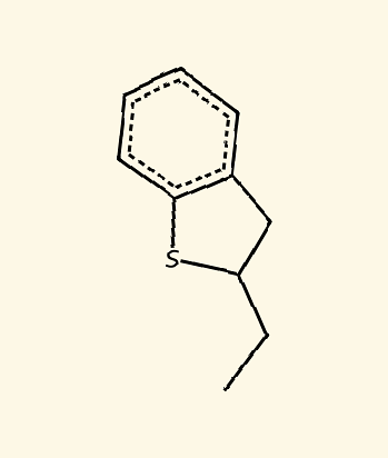 CCC1Cc2ccccc2S1